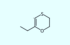 CCC1=[C]SCCO1